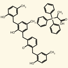 CC(C(=O)O)[P+](c1ccccc1)(c1ccccc1)c1ccccc1.Cc1ccc(O)c(Cc2cccc(Cc3cc(C)cc(Cc4cc(C)ccc4O)c3O)c2[O-])c1